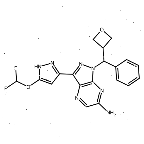 Nc1cnc2c(-c3cc(OC(F)F)[nH]n3)nn(C(c3ccccc3)C3COC3)c2n1